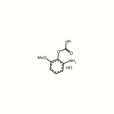 CCCC(=O)Oc1c(N)cccc1OC.Cl